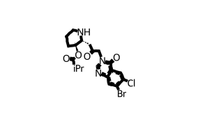 CC(C)C(=O)O[C@H]1CCCN[C@@H]1CC(=O)Cn1cnc2cc(Br)c(Cl)cc2c1=O